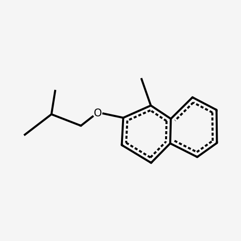 Cc1c(OCC(C)C)ccc2ccccc12